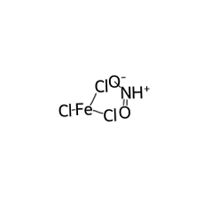 O=[NH+][O-].[Cl][Fe]([Cl])[Cl]